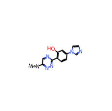 CNc1cnc(-c2ccc(-n3ccnc3)cc2O)nn1